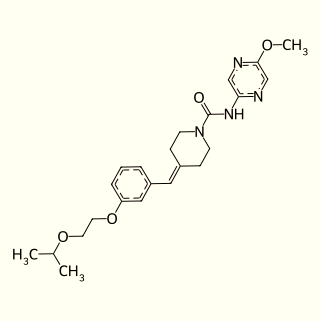 COc1cnc(NC(=O)N2CCC(=Cc3cccc(OCCOC(C)C)c3)CC2)cn1